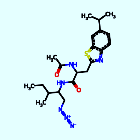 CCC(C)C(CN=[N+]=[N-])NC(=O)C(Cc1nc2ccc(C(C)C)cc2s1)NC(C)=O